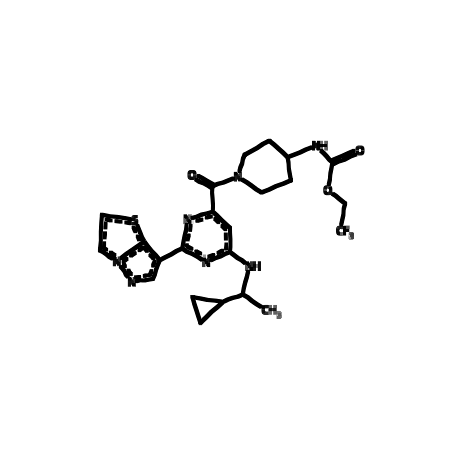 CC(Nc1cc(C(=O)N2CCC(NC(=O)OCC(F)(F)F)CC2)nc(-c2cnn3ccsc23)n1)C1CC1